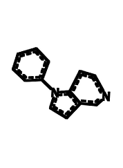 c1ccc(-n2ccc3cnccc32)cc1